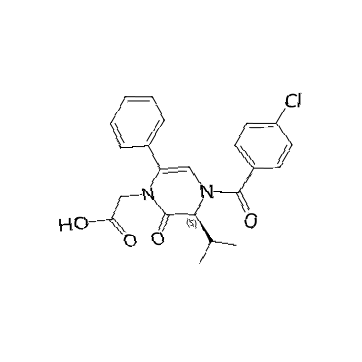 CC(C)[C@H]1C(=O)N(CC(=O)O)C(c2ccccc2)=CN1C(=O)c1ccc(Cl)cc1